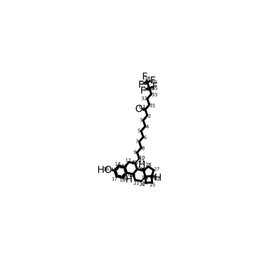 O=C(CCCCCCCCC[C@@H]1Cc2cc(O)ccc2[C@H]2CC[C@]34CC[C@H]3CC[C@H]4C12)CCCC(F)(F)C(F)(F)F